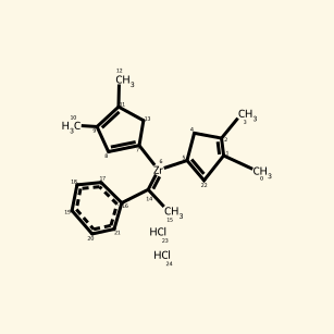 CC1=C(C)C[C]([Zr]([C]2=CC(C)=C(C)C2)=[C](C)c2ccccc2)=C1.Cl.Cl